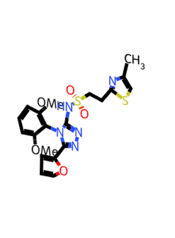 COc1cccc(OC)c1-n1c(NS(=O)(=O)CCc2nc(C)cs2)nnc1-c1ccco1